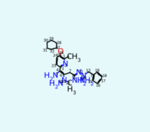 Cc1nc(/C(N)=C(\C/C(N)=N/N(N)Cc2ccccc2)N(C)N)ccc1OC1CCCCC1